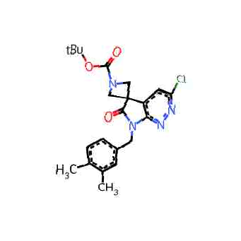 Cc1ccc(CN2C(=O)C3(CN(C(=O)OC(C)(C)C)C3)c3cc(Cl)nnc32)cc1C